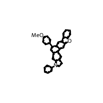 COc1ccc(-c2cc3cc4c(ccn4-c4ccccc4)cc3c3cc4oc5ccccc5c4cc23)cc1